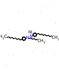 CCCCCCCCCCc1ccc(N=CC(CCCCC)=Nc2ccc(CCCCCCCCCC)cc2)cc1.[Ni]